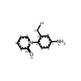 Nc1ccc(-n2ccccc2=O)c(CI)c1